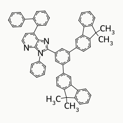 CC1(C)c2ccccc2-c2cc(-c3cc(-c4ccc5c(c4)-c4ccccc4C5(C)C)cc(-c4nc5c(-c6ccccc6-c6ccccc6)ccnc5n4-c4ccccc4)c3)ccc21